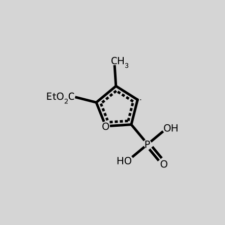 CCOC(=O)c1oc(P(=O)(O)O)[c]c1C